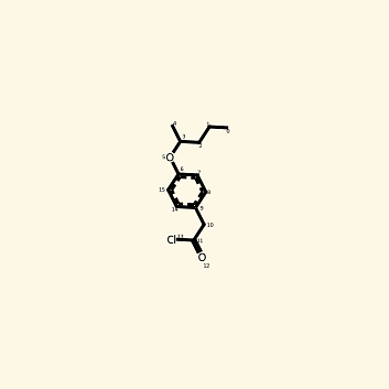 CCCC(C)Oc1ccc(CC(=O)Cl)cc1